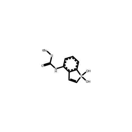 CC(C)(C)OC(=O)Nc1cccc2c1C=CS2(O)O